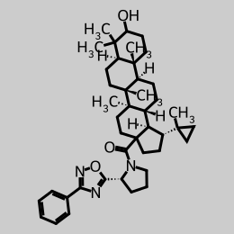 CC1([C@@H]2CCC3(C(=O)N4CCC[C@@H]4c4nc(-c5ccccc5)no4)CC[C@]4(C)[C@H](CC[C@@H]5[C@@]6(C)CCC(O)C(C)(C)[C@@H]6CC[C@]54C)[C@@H]23)CC1